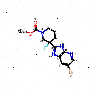 CC(C)(C)OC(=O)N1CCCC(F)(c2nc3cc(Br)cnc3[nH]2)C1